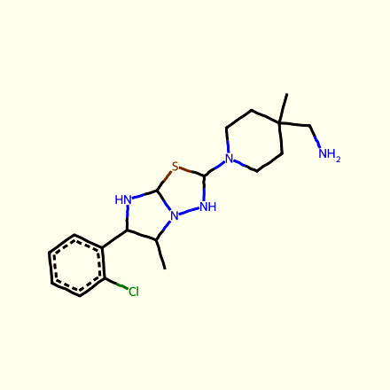 CC1C(c2ccccc2Cl)NC2SC(N3CCC(C)(CN)CC3)NN21